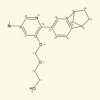 OCCOCOc1cc(Br)cnc1-c1ccc2c(c1)C1CCC2C1